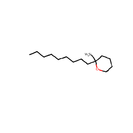 CCCCCCCCCC1([SiH3])CCCCO1